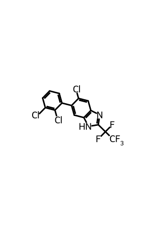 FC(F)(F)C(F)(F)c1nc2cc(Cl)c(-c3cccc(Cl)c3Cl)cc2[nH]1